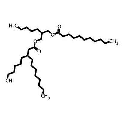 CCCCCCCCCCC(=O)OCC(CCCCC)COC(=O)CC(CCCCCC)CCCCCCCC